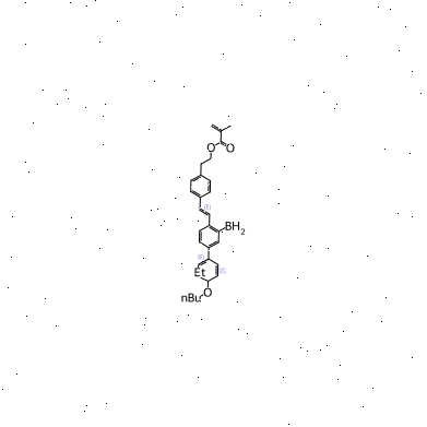 Bc1cc(C(/C=C\C(C)OCCCC)=C/CC)ccc1/C=C/c1ccc(CCOC(=O)C(=C)C)cc1